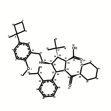 COc1ccc(C2(C)CCC2)cc1CN[C@H]1[C@H](C(C)(C)C)[C@@H](C(=O)O)N(C(=O)[C@@H]2CCCCO2)[C@H]1c1ccccc1C(C)C